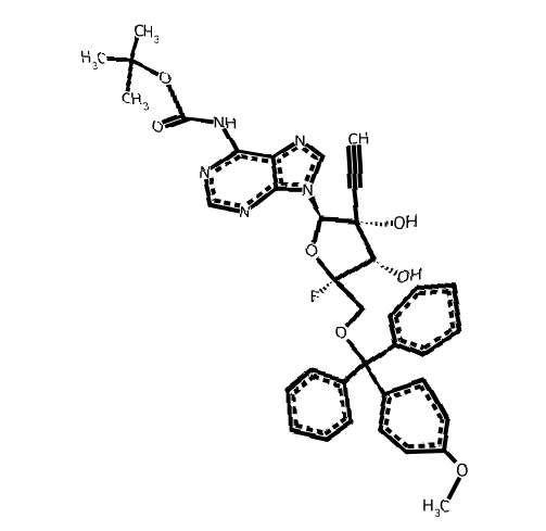 C#C[C@]1(O)[C@H](n2cnc3c(NC(=O)OC(C)(C)C)ncnc32)O[C@](F)(COC(c2ccccc2)(c2ccccc2)c2ccc(OC)cc2)[C@H]1O